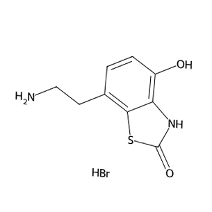 Br.NCCc1ccc(O)c2[nH]c(=O)sc12